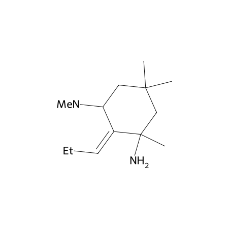 CCC=C1C(NC)CC(C)(C)CC1(C)N